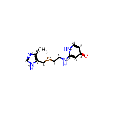 Cc1nc[nH]c1CSCCNc1cc(=O)cc[nH]1